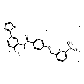 Cc1ccc(-c2ncc[nH]2)cc1NC(=O)c1ccc(OCc2cccc(N(C)C)n2)cc1